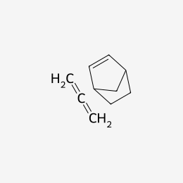 C1=CC2CCC1C2.C=C=C